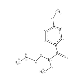 CCc1ccc(C(=O)N(CC)CCNC)cc1